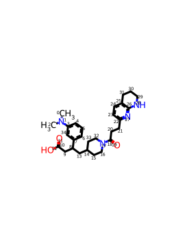 CN(C)c1cccc(C(CC(=O)O)CC2CCN(C(=O)CCc3ccc4c(n3)NCCC4)CC2)c1